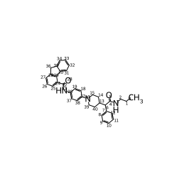 CCCNC(=O)C(c1ccccc1)C1CCN(c2ccc(NC(=O)c3cccc4c3-c3ccccc3C4)cc2)CC1